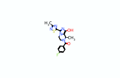 Cc1nsc(-c2nc(O)c3n2CCN(C(=O)c2ccc(F)cc2)[C@@H]3C)n1